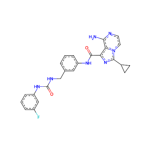 Nc1nccn2c(C3CC3)nc(C(=O)Nc3cccc(CNC(=O)Nc4cccc(F)c4)c3)c12